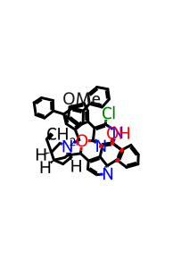 C=C[C@H]1C[N+]2(Cc3cc(-c4ccccc4)c(OC)c(-c4ccccc4)c3)CC[C@H]1C[C@@H]2C(Oc1nc(-c2ccccc2)nc(Cl)c1-c1ccccc1)c1ccnc2ccc(O)cc12